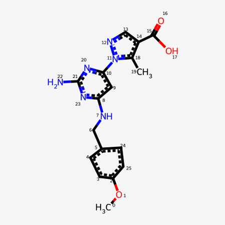 COc1ccc(CNc2cc(-n3ncc(C(=O)O)c3C)nc(N)n2)cc1